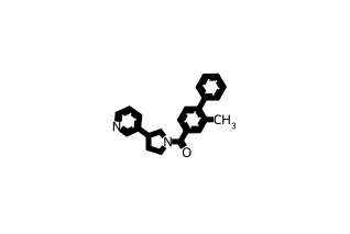 Cc1cc(C(=O)N2CCC(c3cccnc3)C2)ccc1-c1ccccc1